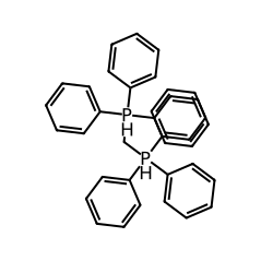 c1ccc([PH](C[PH](c2ccccc2)(c2ccccc2)c2ccccc2)(c2ccccc2)c2ccccc2)cc1